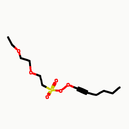 CCCCC#COOS(=O)(=O)CCOCCOCC